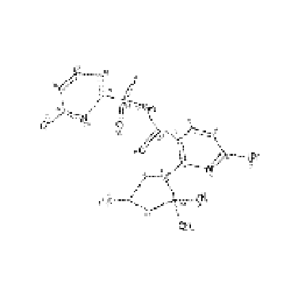 CC1CN(c2nc(C(C)C)ccc2C(=O)NS(=O)(=O)c2cccc(Cl)n2)C(C)(C)C1